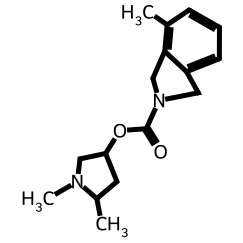 Cc1cccc2c1CN(C(=O)OC1CC(C)N(C)C1)C2